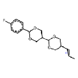 C/C=C/C1COC(C2COC(c3ccc(F)cc3)OC2)OC1